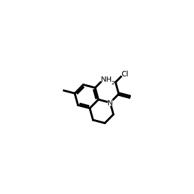 C=C(CCl)N1CCCc2cc(C)cc(N)c21